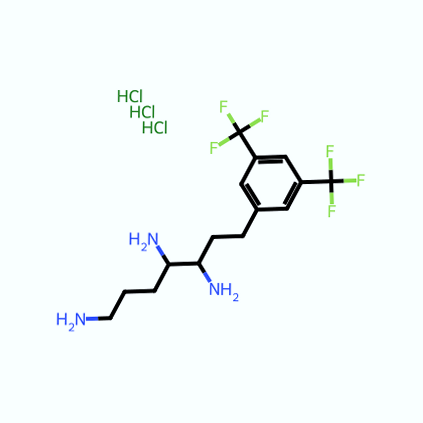 Cl.Cl.Cl.NCCCC(N)C(N)CCc1cc(C(F)(F)F)cc(C(F)(F)F)c1